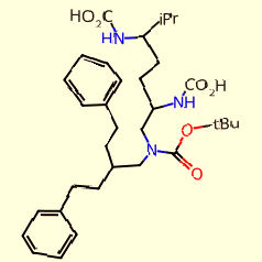 CC(C)C(CCC(CN(CC(CCc1ccccc1)CCc1ccccc1)C(=O)OC(C)(C)C)NC(=O)O)NC(=O)O